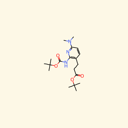 CN(C)c1ccc(CCC(=O)OC(C)(C)C)c(NC(=O)OC(C)(C)C)n1